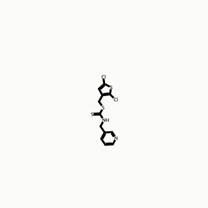 S=C(NCc1cccnc1)SCc1cc(Cl)sc1Cl